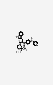 CC1(CO)CCCN(C(=O)C(Cc2c[nH]c3ccccc23)Nc2ccc(Nc3ccncc3)cc2)C1